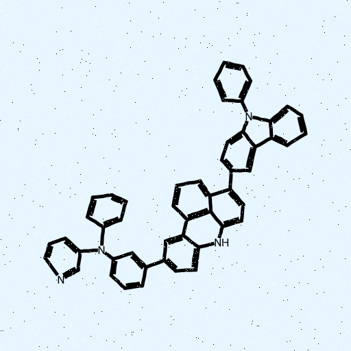 c1ccc(N(c2cccnc2)c2cccc(-c3ccc4c(c3)-c3cccc5c(-c6ccc7c(c6)c6ccccc6n7-c6ccccc6)ccc(c35)N4)c2)cc1